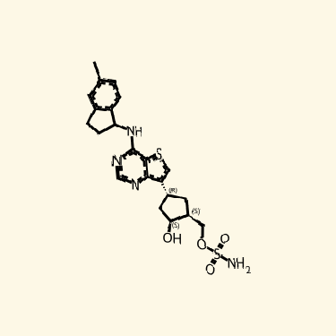 Cc1ccc2c(c1)CCC2Nc1ncnc2c([C@@H]3C[C@@H](COS(N)(=O)=O)[C@@H](O)C3)csc12